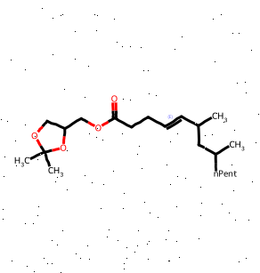 CCCCCC(C)CC(C)/C=C/CCC(=O)OCC1COC(C)(C)O1